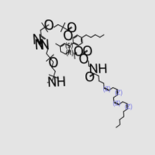 C=C(C)[C@@H]1CCC(C)=C[C@H]1c1c(OC(=O)OCCNC(=O)CCC/C=C\C/C=C\C/C=C\C/C=C\CCCCC)cc(CCCCC)cc1OC(=O)C(C)(C)CCOC(C)(C)Cc1cn(CCC(C)(C)OCCC(C)(C)NC)nn1